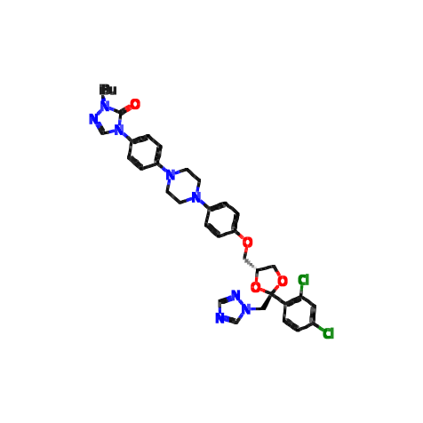 CC[C@H](C)n1ncn(-c2ccc(N3CCN(c4ccc(OC[C@@H]5CO[C@](Cn6cncn6)(c6ccc(Cl)cc6Cl)O5)cc4)CC3)cc2)c1=O